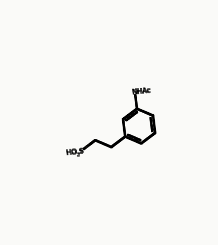 CC(=O)Nc1cccc(CCS(=O)(=O)O)c1